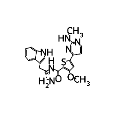 CNc1nccc(-c2cc(OC)c(C(=O)N[C@H](CN)Cc3c[nH]c4ccccc34)s2)n1